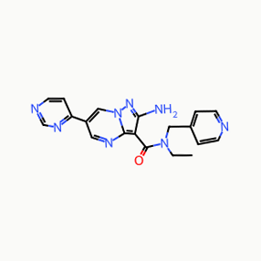 CCN(Cc1ccncc1)C(=O)c1c(N)nn2cc(-c3ccncn3)cnc12